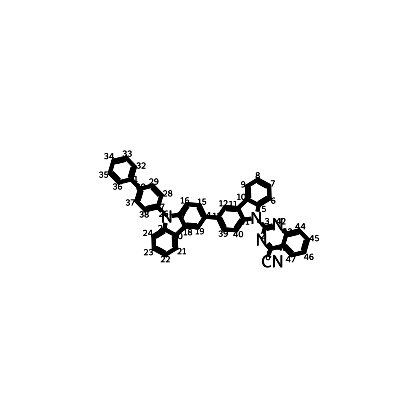 N#Cc1nc(-n2c3ccccc3c3cc(-c4ccc5c(c4)c4ccccc4n5-c4ccc(-c5ccccc5)cc4)ccc32)nc2ccccc12